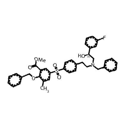 COC(=O)c1cc(S(=O)(=O)c2ccc(CCN(Cc3ccccc3)C[C@@H](O)c3cccc(F)c3)cc2)cc(C)c1OCc1ccccc1